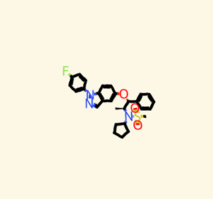 C[C@@H]([C@@H](Oc1ccc2c(cnn2-c2ccc(F)cc2)c1)c1ccccc1)N(C1CCCC1)S(C)(=O)=O